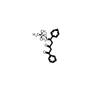 C[Si](C)(C)ON=C(CC(=O)CC(=O)c1ccccc1)c1ccccc1